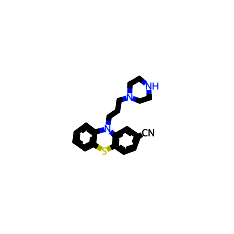 N#Cc1ccc2c(c1)N(CCCN1CCNCC1)c1ccccc1S2